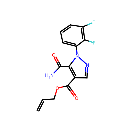 C=CCOC(=O)c1cnn(-c2cccc(F)c2F)c1C(N)=O